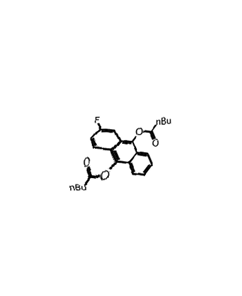 CCCCC(=O)Oc1c2ccccc2c(OC(=O)CCCC)c2cc(F)ccc12